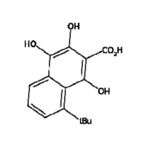 CC(C)(C)c1cccc2c(O)c(O)c(C(=O)O)c(O)c12